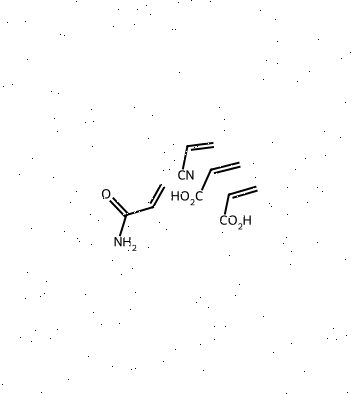 C=CC#N.C=CC(=O)O.C=CC(=O)O.C=CC(N)=O